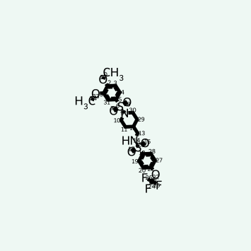 COc1ccc(S(=O)(=O)N2CCC(CNS(=O)(=O)c3ccc(OC(F)(F)F)cc3)CC2)cc1OC